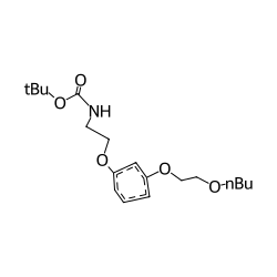 CCCCOCCOc1cccc(OCCNC(=O)OC(C)(C)C)c1